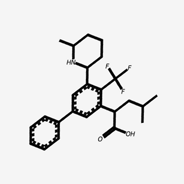 CC(C)CC(C(=O)O)c1cc(-c2ccccc2)cc(C2CCCC(C)N2)c1C(F)(F)F